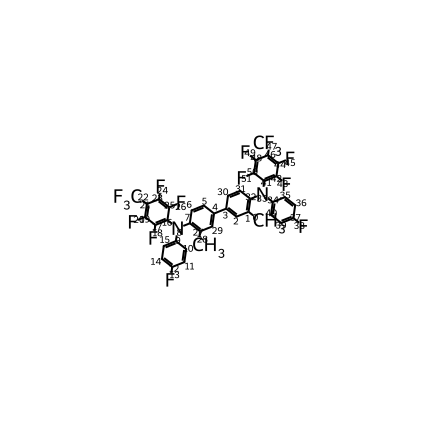 Cc1cc(-c2ccc(N(c3ccc(F)cc3)c3c(F)c(F)c(C(F)(F)F)c(F)c3F)c(C)c2)ccc1N(c1ccc(F)cc1)c1c(F)c(F)c(C(F)(F)F)c(F)c1F